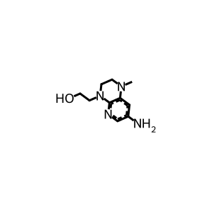 CN1CCN(CCO)c2ncc(N)cc21